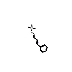 C[Si](C)(C)ON=C/C=C/c1ccccc1